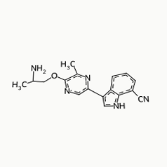 Cc1nc(-c2c[nH]c3c(C#N)cccc23)cnc1OCC(C)N